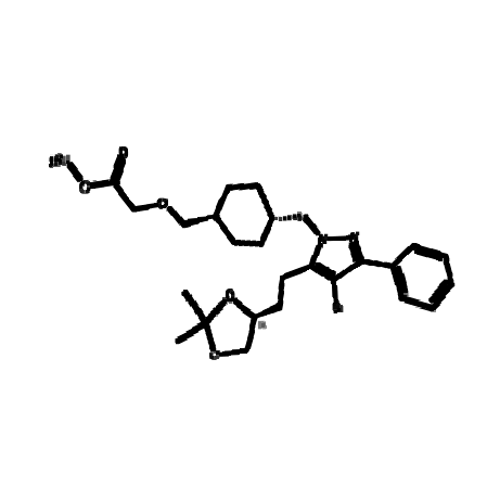 CC(C)(C)OC(=O)COC[C@H]1CC[C@H](Cn2nc(-c3ccccc3)c(Br)c2CC[C@H]2COC(C)(C)O2)CC1